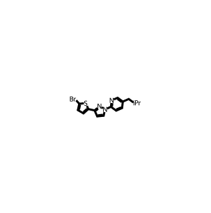 CC(C)Cc1ccc(-n2ccc(-c3ccc(Br)s3)n2)nc1